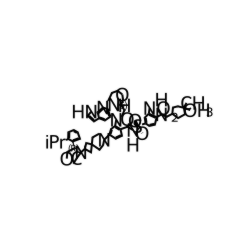 CC(C)c1ccccc1[C@@H]1COCCN1C1CC2(CCN(c3ccc(C(=O)NS(=O)(=O)c4ccc(NCC5CCC(C)(O)CC5)c([N+](=O)[O-])c4)c(N4CC[C@H]5COCCCN5c5nc6[nH]ccc6cc54)c3)CC2)C1